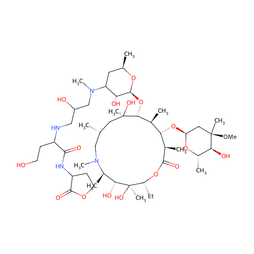 CC[C@H]1OC(=O)[C@H](C)[C@@H](O[C@H]2C[C@@](C)(OC)[C@@H](O)[C@H](C)O2)[C@H](C)[C@@H](O[C@@H]2O[C@H](C)CC(N(C)CC(O)CNC(CCO)C(=O)NC3CCOC3=O)[C@H]2O)[C@](C)(O)C[C@@H](C)CN(C)[C@H](C)[C@@H](O)[C@]1(C)O